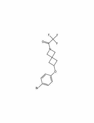 O=C(N1CC2(CC(Oc3ccc(Br)cc3)C2)C1)C(F)(F)F